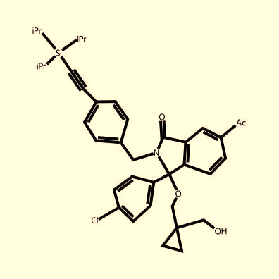 CC(=O)c1ccc2c(c1)C(=O)N(Cc1ccc(C#C[Si](C(C)C)(C(C)C)C(C)C)cc1)C2(OCC1(CO)CC1)c1ccc(Cl)cc1